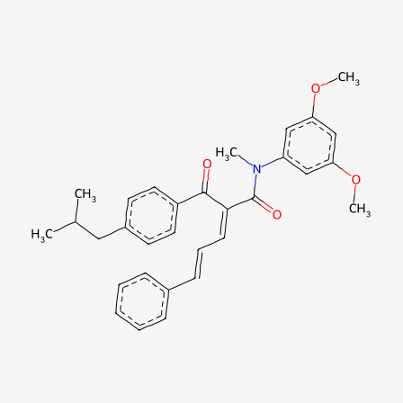 COc1cc(OC)cc(N(C)C(=O)C(=CC=Cc2ccccc2)C(=O)c2ccc(CC(C)C)cc2)c1